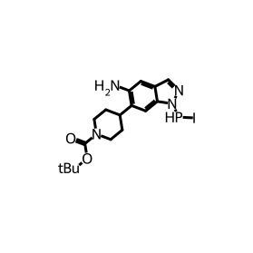 CC(C)(C)OC(=O)N1CCC(c2cc3c(cnn3PI)cc2N)CC1